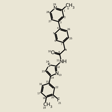 Cc1cc(-c2ccc(CC(=O)Nc3nc(-c4ccc(C)c(F)c4)cs3)cc2)ccn1